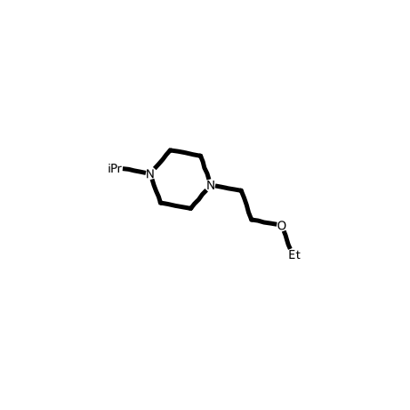 CCOCCN1CCN(C(C)C)CC1